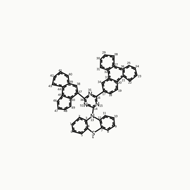 c1ccc2c(c1)Sc1ccccc1N2c1nc(-c2ccc3c4ccccc4c4ccccc4c3c2)nc(-c2cc3ccccc3c3ccccc23)n1